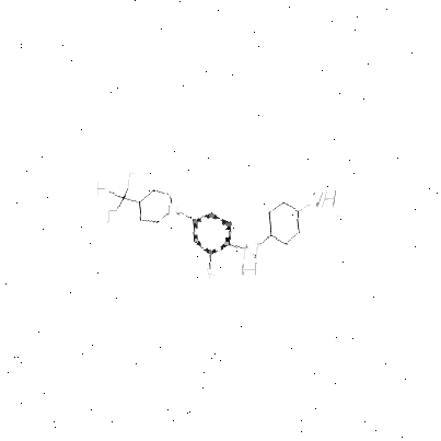 NC1CCC(Nc2ccc(N3CCC(C(F)(F)F)CC3)cc2F)CC1